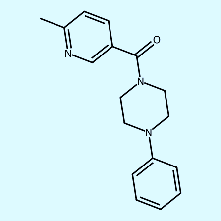 Cc1ccc(C(=O)N2CCN(c3ccccc3)CC2)cn1